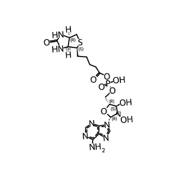 Nc1ncnc2c1ncn2[C@@H]1O[C@H](COP(=O)(O)OC(=O)CCCC[C@@H]2SC[C@@H]3NC(=O)N[C@@H]32)[C@@H](O)[C@H]1O